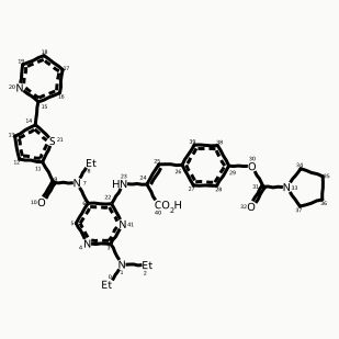 CCN(CC)c1ncc(N(CC)C(=O)c2ccc(-c3ccccn3)s2)c(N/C(=C/c2ccc(OC(=O)N3CCCC3)cc2)C(=O)O)n1